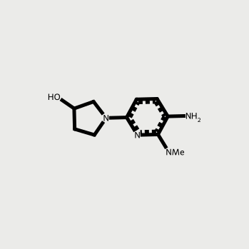 CNc1nc(N2CCC(O)C2)ccc1N